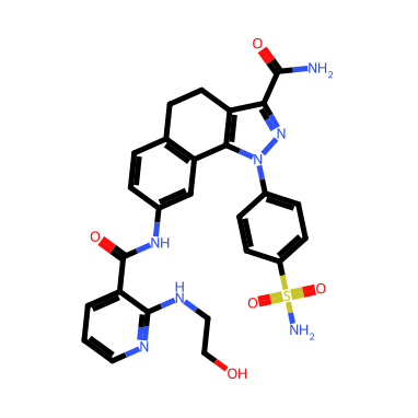 NC(=O)c1nn(-c2ccc(S(N)(=O)=O)cc2)c2c1CCc1ccc(NC(=O)c3cccnc3NCCO)cc1-2